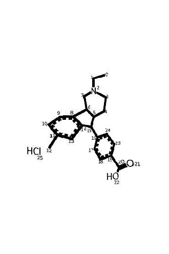 CCN1CCC2C(C1)c1ccc(C)cc1C2c1ccc(C(=O)O)cc1.Cl